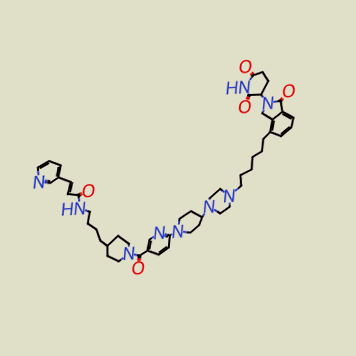 O=C(/C=C/c1cccnc1)NCCCCC1CCN(C(=O)c2ccc(N3CCC(N4CCN(CCCCCCc5cccc6c5CN(C5CCC(=O)NC5=O)C6=O)CC4)CC3)nc2)CC1